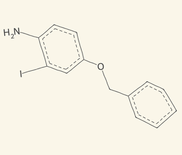 Nc1ccc(OCc2ccccc2)cc1I